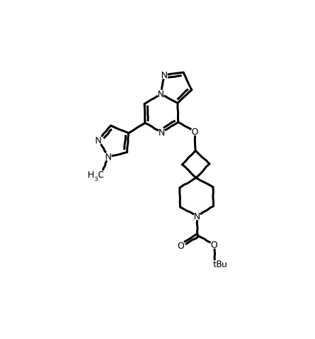 Cn1cc(-c2cn3nccc3c(OC3CC4(CCN(C(=O)OC(C)(C)C)CC4)C3)n2)cn1